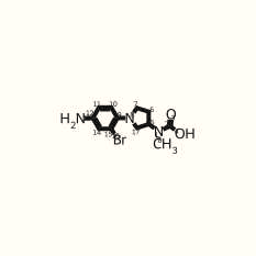 CN(C(=O)O)C1CCN(c2ccc(N)cc2Br)C1